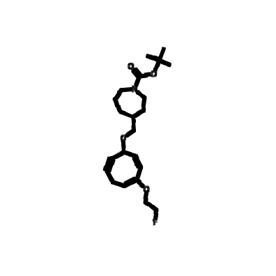 CC(C)(C)OC(=O)N1CCCC(COC2C#CC/C=C(OCCF)\C=C/2)CC1